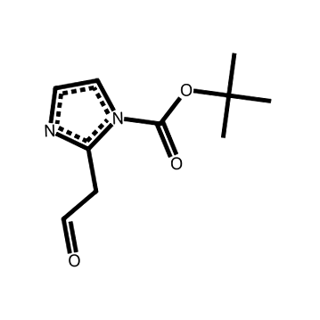 CC(C)(C)OC(=O)n1ccnc1CC=O